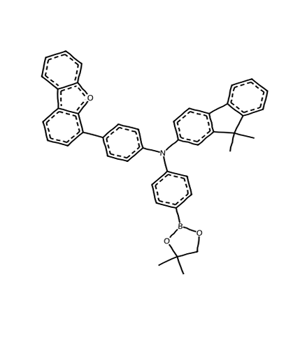 CC1(C)COB(c2ccc(N(c3ccc(-c4cccc5c4oc4ccccc45)cc3)c3ccc4c(c3)C(C)(C)c3ccccc3-4)cc2)O1